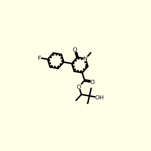 CC(OC(=O)c1cc(-c2ccc(F)cc2)c(=O)n(C)c1)C(C)(C)O